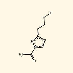 NC(=O)c1cnn(CCCF)n1